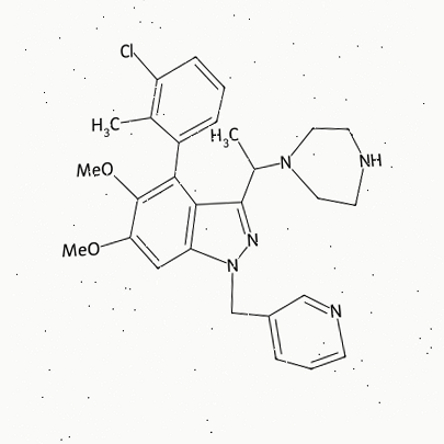 COc1cc2c(c(C(C)N3CCNCC3)nn2Cc2cccnc2)c(-c2cccc(Cl)c2C)c1OC